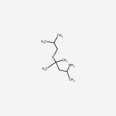 CC(C)COC(C)(C)CC(C)N